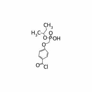 CCC(C)OP(=O)(O)COc1ccc(C(=O)Cl)cc1